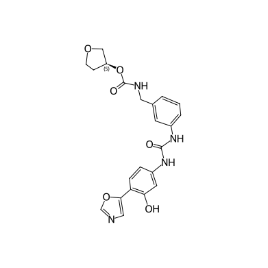 O=C(Nc1cccc(CNC(=O)O[C@H]2CCOC2)c1)Nc1ccc(-c2cnco2)c(O)c1